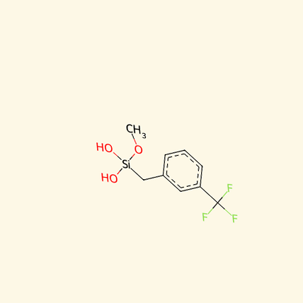 CO[Si](O)(O)Cc1cccc(C(F)(F)F)c1